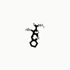 CCCCc1c(C(N)=S)sc2nc3c(cc12)CCCC3